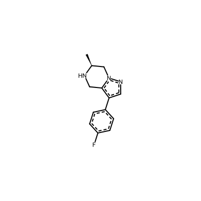 C[C@H]1Cn2ncc(-c3ccc(F)cc3)c2CN1